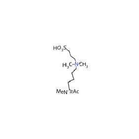 CN[C@H](CCCC[N+](C)(C)CCCS(=O)(=O)O)C(C)=O